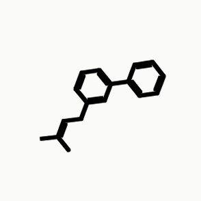 CC(C)=CCc1cccc(-c2ccccc2)c1